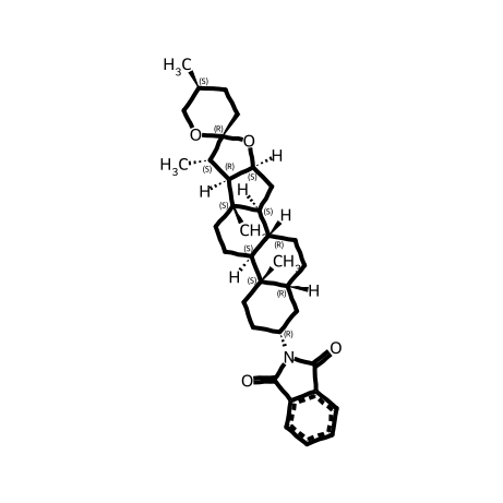 C[C@H]1CC[C@@]2(OC1)O[C@H]1C[C@H]3[C@@H]4CC[C@@H]5C[C@H](N6C(=O)c7ccccc7C6=O)CC[C@]5(C)[C@H]4CC[C@]3(C)[C@H]1[C@@H]2C